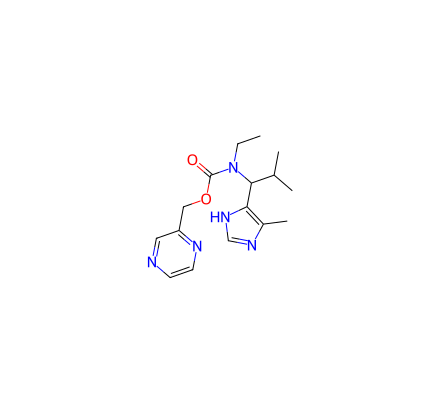 CCN(C(=O)OCc1cnccn1)C(c1[nH]cnc1C)C(C)C